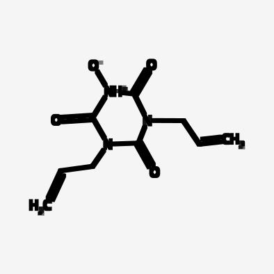 C=CCN1C(=O)N(CC=C)C(=O)[NH+]([O-])C1=O